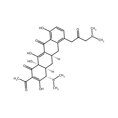 CC(=O)C1=C(O)[C@@H](N(C)C)[C@@H]2C[C@@H]3Cc4c(CC(=O)CN(C)C)ccc(O)c4C(=O)C3=C(O)[C@]2(O)C1=O